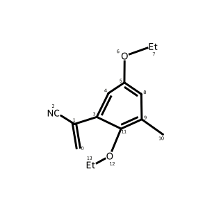 C=C(C#N)c1cc(OCC)cc(C)c1OCC